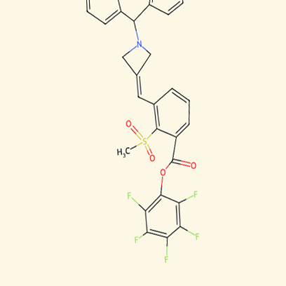 CS(=O)(=O)c1c(C=C2CN(C(c3ccc(Cl)cc3)c3ccc(Cl)cc3)C2)cccc1C(=O)Oc1c(F)c(F)c(F)c(F)c1F